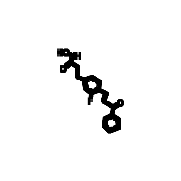 O=C(C=Cc1ccc(C=CC(=O)c2ccccc2)c(F)c1)NO